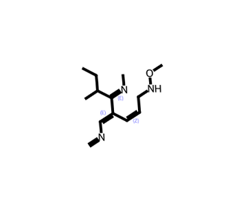 C=N/C=C(\C=C/CNOC)C(=N/C)/C(C)CC